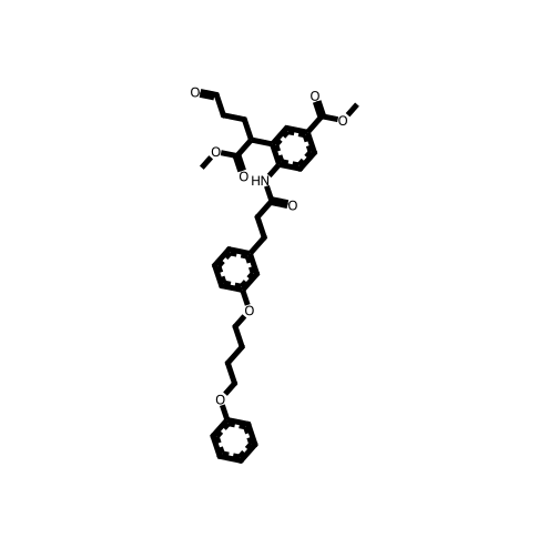 COC(=O)c1ccc(NC(=O)CCc2cccc(OCCCCOc3ccccc3)c2)c(C(CCC=O)C(=O)OC)c1